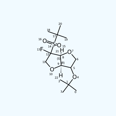 CC(C)(C)OC1CO[C@H]2[C@@H]1OCC2(F)S(=O)(=O)C(C)(C)C